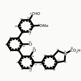 COc1nc(-c2cccc(-c3ccnc(-c4ccc5c(c4)CN(C(=O)O)C5)c3Cl)c2Cl)ccc1C=O